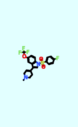 CN1CC=C(c2cn(S(=O)(=O)c3ccc(F)cc3)c3ccc(OC(F)(F)F)cc23)CC1